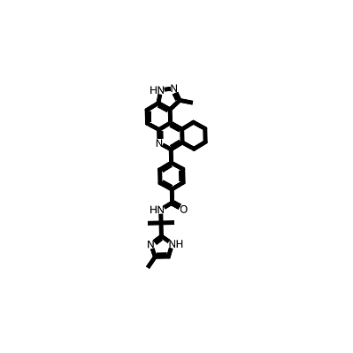 Cc1c[nH]c(C(C)(C)NC(=O)c2ccc(-c3nc4ccc5[nH]nc(C)c5c4c4c3CCCC4)cc2)n1